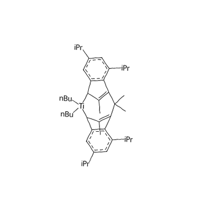 CCC[CH2][Ti]1([CH2]CCC)[CH]2C(C)=C(c3c(C(C)C)cc(C(C)C)cc32)C(C)(C)C2=C(C)[CH]1c1cc(C(C)C)cc(C(C)C)c12